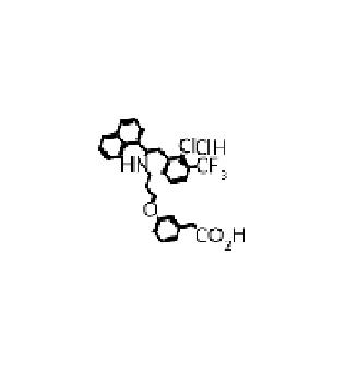 Cl.O=C(O)Cc1cccc(OCCCNC(Cc2cccc(C(F)(F)F)c2Cl)c2cccc3ccccc23)c1